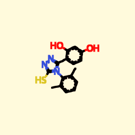 Cc1cccc(C)c1-n1c(S)nnc1-c1ccc(O)cc1O